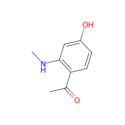 CNc1cc(O)ccc1C(C)=O